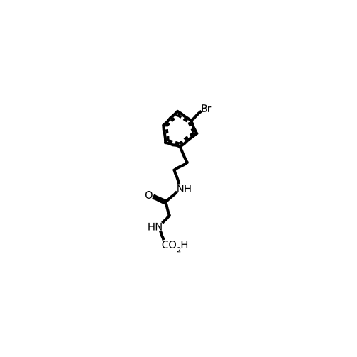 O=C(O)NCC(=O)NCCc1cccc(Br)c1